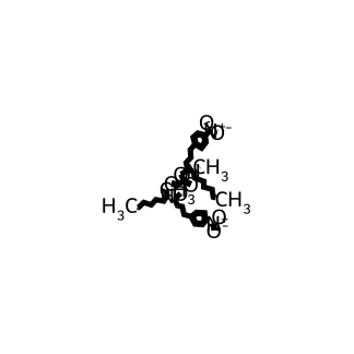 CCCCCCN(C)C(CCCc1ccc([N+](=O)[O-])cc1)OC(=O)C(=O)OC(CCCc1ccc([N+](=O)[O-])cc1)N(C)CCCCCC